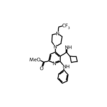 COC(=O)c1cc(N2CCN(CC(F)(F)F)CC2)c(C(=N)C2CCC2)c(Nc2ccccc2)n1